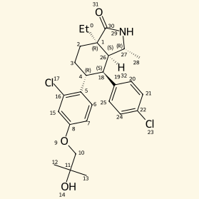 CC[C@@]12CC[C@@H](c3ccc(OCC(C)(C)O)cc3Cl)[C@H](c3ccc(Cl)cc3)[C@@H]1[C@@H](C)NC2=O